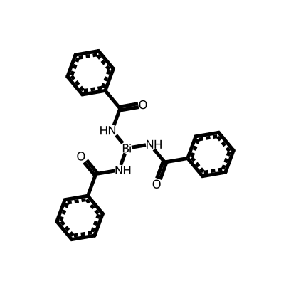 O=C([NH][Bi]([NH]C(=O)c1ccccc1)[NH]C(=O)c1ccccc1)c1ccccc1